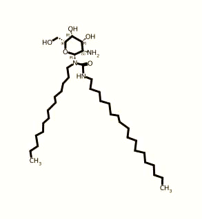 CCCCCCCCCCCCCCCCCCNC(=O)N(CCCCCCCCCCCCCC)[C@@H]1O[C@H](CO)[C@H](O)[C@H](O)[C@@H]1N